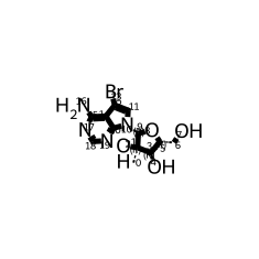 C[C@@]1(O)[C@H](O)[C@@H](CO)O[C@H]1n1cc(Br)c2c(N)ncnc21